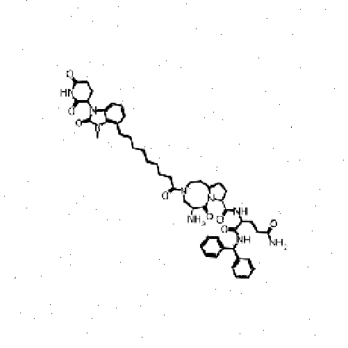 Cn1c(=O)n(C2CCC(=O)NC2=O)c2cccc(CCCCCCCCC(=O)N3CCC4CC[C@@H](C(=O)N[C@@H](CCC(N)=O)C(=O)NC(c5ccccc5)c5ccccc5)N4C(=O)[C@@H](N)C3)c21